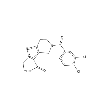 O=C1NCCn2nc3c(c21)CN(C(=O)c1ccc(Cl)c(Cl)c1)CC3